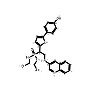 CCNP(=O)(OCC)C(CNc1cnc2ccccc2c1)c1ccc(-c2ccc(O)cc2)s1